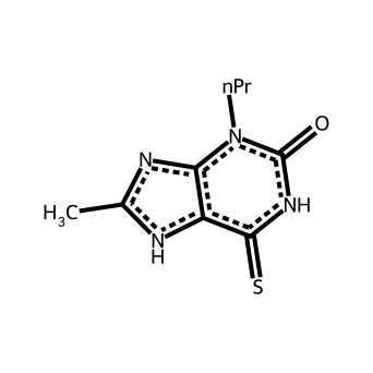 CCCn1c(=O)[nH]c(=S)c2[nH]c(C)nc21